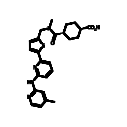 Cc1ccnc(Nc2cccc(-c3ccc(CN(C)C(=O)[C@H]4CC[C@H](C(=O)O)CC4)s3)n2)c1